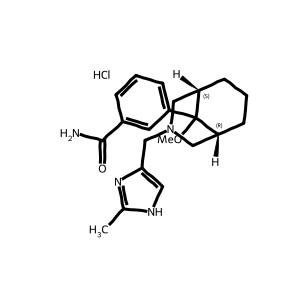 COC1(c2cccc(C(N)=O)c2)[C@@H]2CCC[C@H]1CN(Cc1c[nH]c(C)n1)C2.Cl